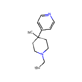 CC(C)(C)CN1CCC(C#N)(c2ccncc2)CC1